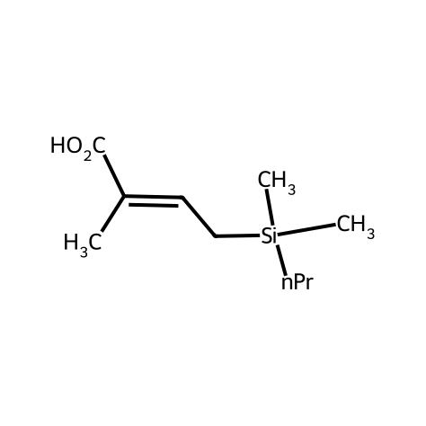 CCC[Si](C)(C)CC=C(C)C(=O)O